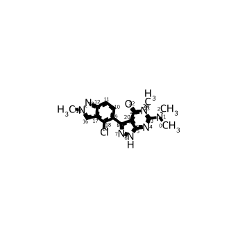 CN(C)c1nc2[nH]nc(-c3ccc4nn(C)cc4c3Cl)c2c(=O)n1C